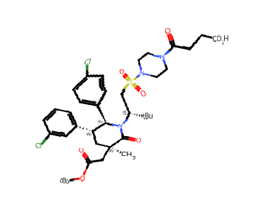 CC(C)(C)OC(=O)C[C@@]1(C)C[C@H](c2cccc(Cl)c2)[C@@H](c2ccc(Cl)cc2)N([C@H](CS(=O)(=O)N2CCN(C(=O)CCC(=O)O)CC2)C(C)(C)C)C1=O